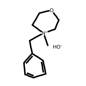 C[N+]1(Cc2ccccc2)CCOCC1.[OH-]